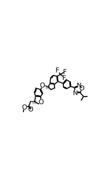 COC(=O)C[C@@H]1COc2cc(O[C@@H]3CCc4c3ccc(C(F)(F)F)c4-c3ccc(-c4noc(C(C)C)n4)cc3)ccc21